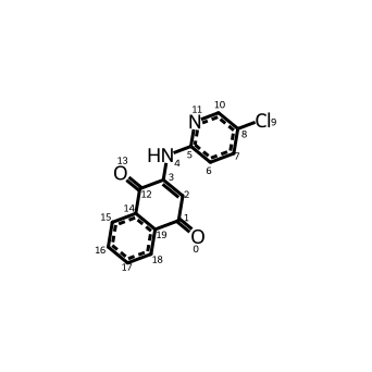 O=C1C=C(Nc2ccc(Cl)cn2)C(=O)c2ccccc21